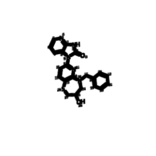 O=c1[nH]c2ncccc2n1-c1ccc2c(n1)N(Cc1ccccc1)CC(O)CS2